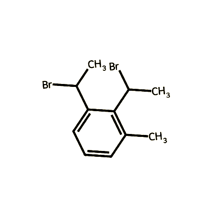 Cc1cccc(C(C)Br)c1C(C)Br